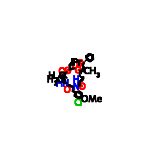 COc1ccc(C[C@H]2NC(=O)/C=C/C[C@@H]([C@H](C)[C@H]3O[C@@H]3c3ccccc3)OC(=O)[C@H](CC(C)C)OC(=O)C(C)(C)CNC2=O)cc1Cl